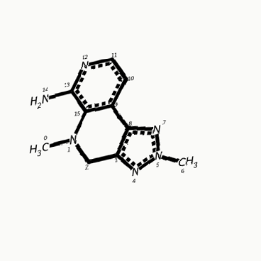 CN1Cc2nn(C)nc2-c2ccnc(N)c21